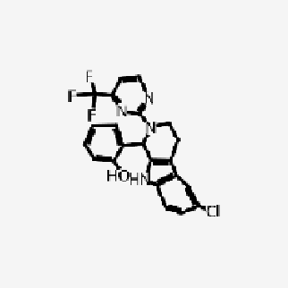 Oc1ccccc1C1c2[nH]c3ccc(Cl)cc3c2CCN1c1nccc(C(F)(F)F)n1